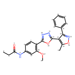 CCC(=O)Nc1ccc(-c2nnc(-c3c(-c4ccccc4)noc3C)o2)c(OC)c1